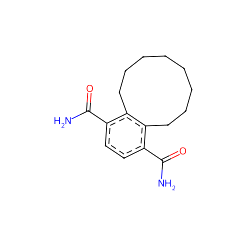 NC(=O)c1ccc(C(N)=O)c2c1CCCCCCCC2